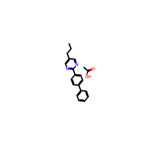 CC(=O)O.CCCc1cnc(-c2ccc(-c3ccccc3)cc2)nc1